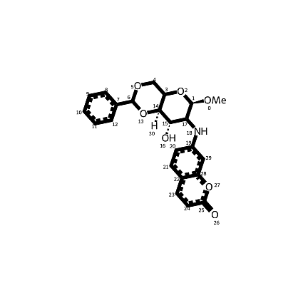 CO[C@@H]1OC2COC(c3ccccc3)O[C@@H]2[C@@H](O)C1Nc1ccc2ccc(=O)oc2c1